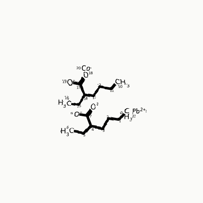 CCCCC(CC)C(=O)[O-].CCCCC(CC)C(=O)[O-].[Co].[Pb+2]